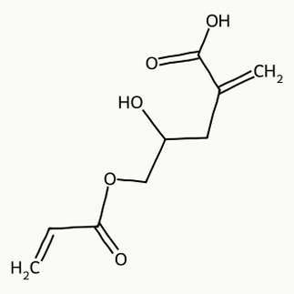 C=CC(=O)OCC(O)CC(=C)C(=O)O